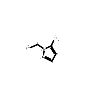 CC(C)Cn1nccc1C(F)(F)F